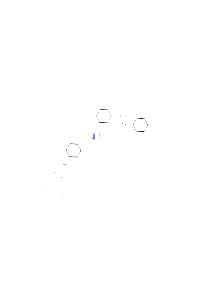 CC1(C)OB(c2ccc(CNS(=O)(=O)c3cc(C(=O)Nc4cc(F)c(F)c(F)c4)ccc3F)cc2)OC1(C)C